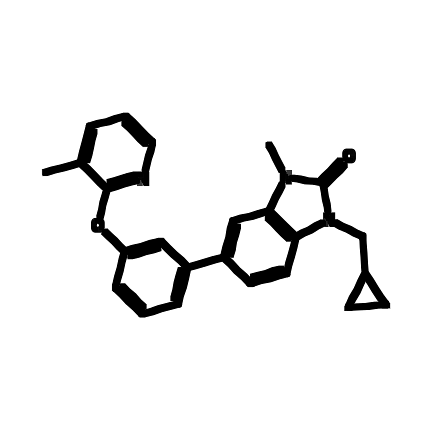 Cc1cccnc1Oc1cccc(-c2ccc3c(c2)n(C)c(=O)n3CC2CC2)c1